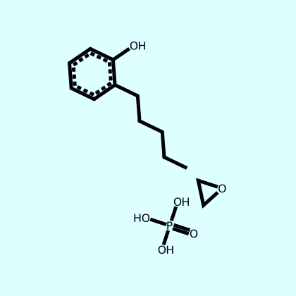 C1CO1.CCCCCc1ccccc1O.O=P(O)(O)O